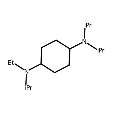 CCN(C(C)C)C1CCC(N(C(C)C)C(C)C)CC1